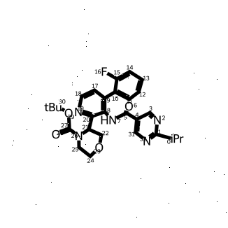 CC(C)c1ncc(C(=O)Nc2c(-c3ccccc3F)ccnc2C2COCCN2C(=O)OC(C)(C)C)cn1